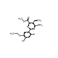 C=Cc1c(N)nc(-c2cc(OCC)c(Cl)cc2F)nc1C(=O)OC